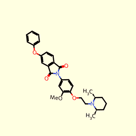 COc1cc(N2C(=O)c3ccc(Oc4ccccc4)cc3C2=O)ccc1OCCN1[C@H](C)CCC[C@@H]1C